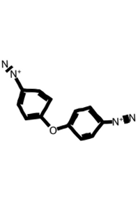 N#[N+]c1ccc(Oc2ccc([N+]#N)cc2)cc1